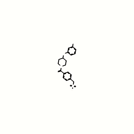 NS(=O)(=O)Cc1ccc(C(=O)N2CCC(Oc3cccc(O)c3)CC2)cc1